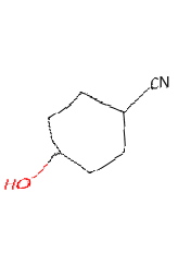 N#CC1CCC(O)CC1